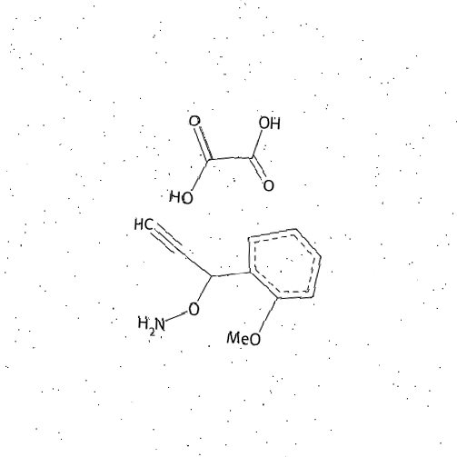 C#CC(ON)c1ccccc1OC.O=C(O)C(=O)O